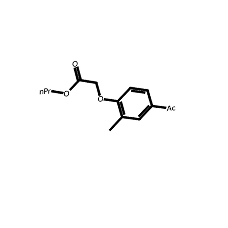 CCCOC(=O)COc1ccc(C(C)=O)cc1C